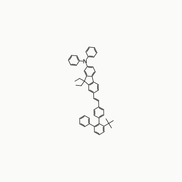 CCC1(CC)c2cc(/C=C/c3ccc(-c4c(-c5ccccc5)cccc4C(C)(C)C)cc3)ccc2-c2ccc(N(c3ccccc3)c3ccccc3)cc21